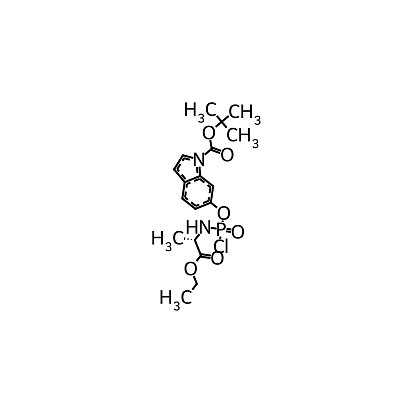 CCOC(=O)[C@H](C)NP(=O)(Cl)Oc1ccc2ccn(C(=O)OC(C)(C)C)c2c1